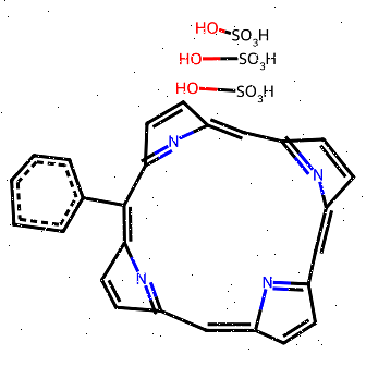 C1=CC2=NC1=CC1=NC(=C(c3ccccc3)C3=NC(=CC4=NC(=C2)C=C4)C=C3)C=C1.O=S(=O)(O)O.O=S(=O)(O)O.O=S(=O)(O)O